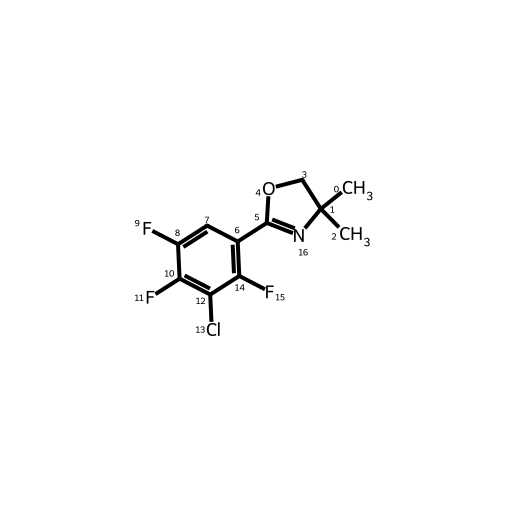 CC1(C)COC(c2cc(F)c(F)c(Cl)c2F)=N1